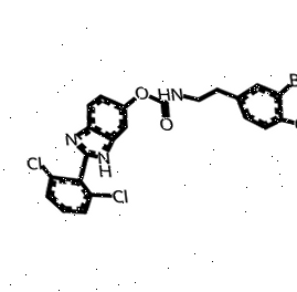 COc1ccc(CCNC(=O)Oc2ccc3nc(-c4c(Cl)cccc4Cl)[nH]c3c2)cc1Br